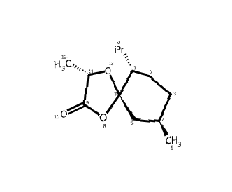 CC(C)[C@@H]1CC[C@@H](C)C[C@]12OC(=O)[C@H](C)O2